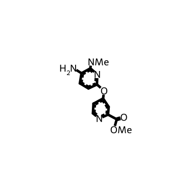 CNc1nc(Oc2ccnc(C(=O)OC)c2)ccc1N